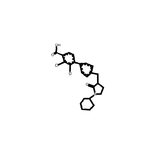 O=C(O)c1ccc(-c2ccc(CC3CCN(C4CCCCC4)C3=O)cc2)c(Cl)c1Cl